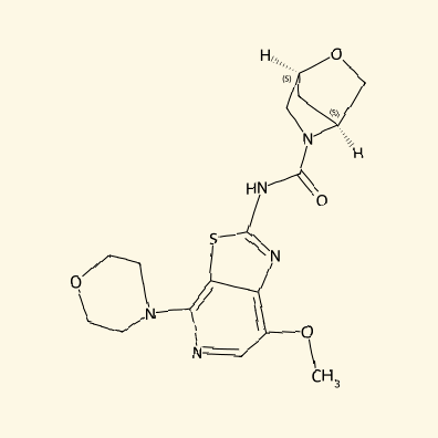 COc1cnc(N2CCOCC2)c2sc(NC(=O)N3C[C@@H]4C[C@H]3CO4)nc12